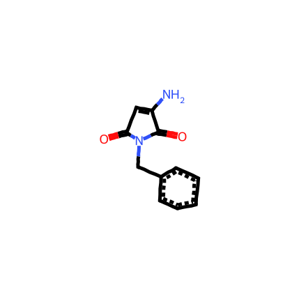 NC1=CC(=O)N(Cc2ccccc2)C1=O